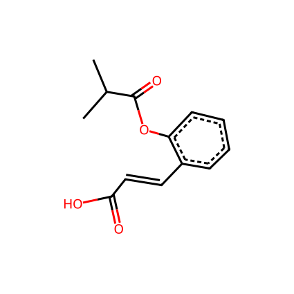 CC(C)C(=O)Oc1ccccc1/C=C/C(=O)O